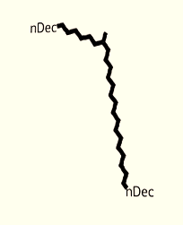 CCCCCCCCCCCCCCCCCCCCCCCCCCC(C)CCCCCCCCCCCCCCCC